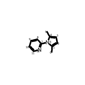 Cc1ccc(C)n1-c1ccc[c]n1